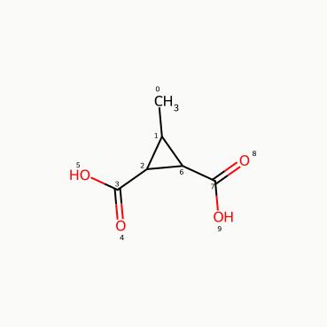 CC1C(C(=O)O)C1C(=O)O